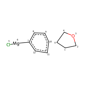 C1CCOC1.[Cl][Mg][c]1ccccc1